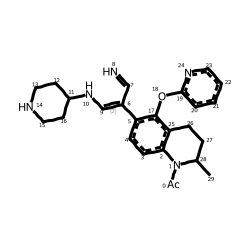 CC(=O)N1c2ccc(/C(C=N)=C/NC3CCNCC3)c(Oc3ccccn3)c2CCC1C